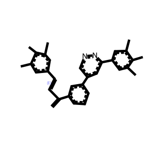 C=C(/C=C/c1cc(C)c(C)c(C)c1)c1cccc(-c2cnnc(-c3cc(C)c(C)c(C)c3)c2)c1